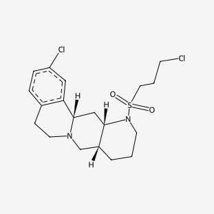 O=S(=O)(CCCCl)N1CCC[C@@H]2CN3CCc4ccc(Cl)cc4[C@@H]3C[C@@H]21